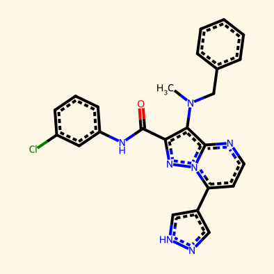 CN(Cc1ccccc1)c1c(C(=O)Nc2cccc(Cl)c2)nn2c(-c3cn[nH]c3)ccnc12